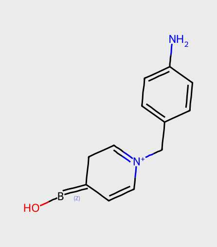 Nc1ccc(C[N+]2=CC/C(=B/O)C=C2)cc1